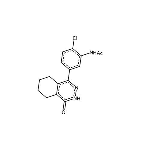 CC(=O)Nc1cc(-c2n[nH]c(=O)c3c2CCCC3)ccc1Cl